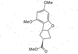 COC(=O)[C@@H]1CC2Oc3cc(OC)cc(OC)c3C2C1